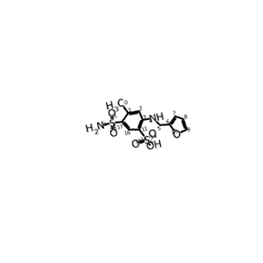 Cc1cc(NCc2ccco2)c(S(=O)(=O)O)cc1S(N)(=O)=O